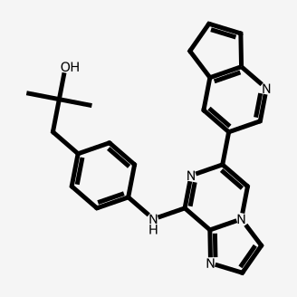 CC(C)(O)Cc1ccc(Nc2nc(-c3cnc4c(c3)CC=C4)cn3ccnc23)cc1